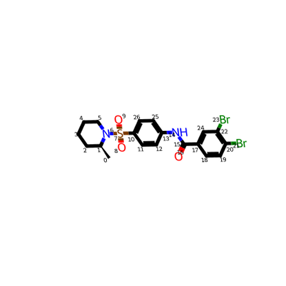 C[C@H]1CCCCN1S(=O)(=O)c1ccc(NC(=O)c2ccc(Br)c(Br)c2)cc1